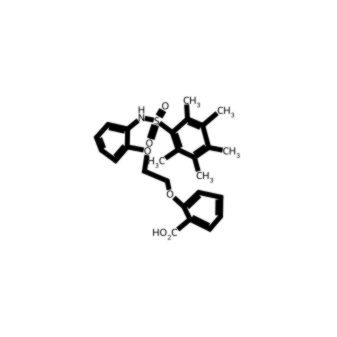 Cc1c(C)c(C)c(S(=O)(=O)Nc2ccccc2OCCOc2ccccc2C(=O)O)c(C)c1C